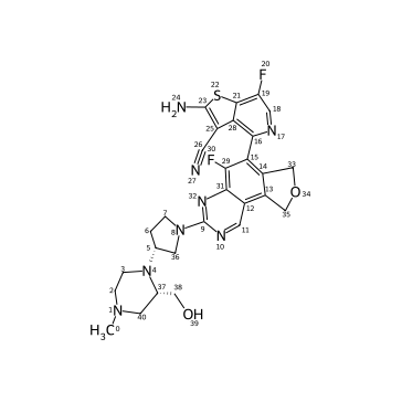 CN1CCN([C@@H]2CCN(c3ncc4c5c(c(-c6ncc(F)c7sc(N)c(C#N)c67)c(F)c4n3)COC5)C2)[C@H](CO)C1